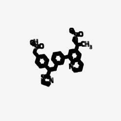 CC(C[SH](=O)=O)c1cc(-c2cccc(/C=C(\c3ccc(C[SH](=O)=O)cc3)c3nccs3)c2)c2ncccc2c1